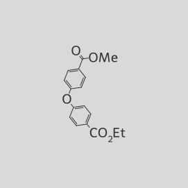 CCOC(=O)c1ccc(Oc2ccc(C(=O)OC)cc2)cc1